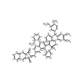 Cc1ccc(N(c2ccc(C)c(C)c2)c2ccc3c4c(cccc24)-c2c-3c(-c3ccccc3C)c3ccc(C=C4C(=O)c5cc6ccccc6cc5C4=O)cc3c2-c2ccccc2C)cc1C